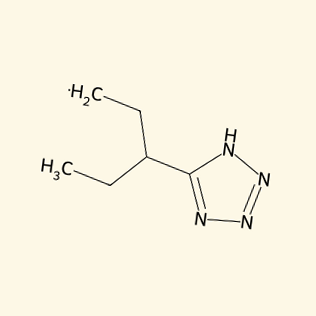 [CH2]CC(CC)c1nnn[nH]1